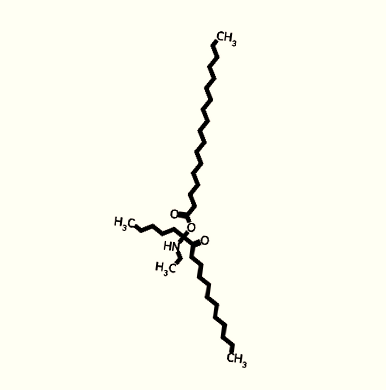 CCCCCCCCCCCCCCCCCC(=O)OC(CCCCC)(NCC)C(=O)CCCCCCCCCCC